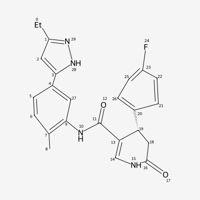 CCc1cc(-c2ccc(C)c(NC(=O)C3=CNC(=O)C[C@H]3c3ccc(F)cc3)c2)[nH]n1